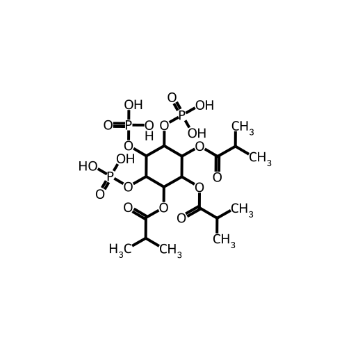 CC(C)C(=O)OC1C(OC(=O)C(C)C)C(OP(=O)(O)O)C(OP(=O)(O)O)C(OP(=O)(O)O)C1OC(=O)C(C)C